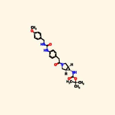 COc1ccc(CNC(=O)Nc2ccc(CC(=O)N3C[C@@H]4[C@H](C3)[C@H]4NC(=O)OC(C)(C)C)cc2)cc1